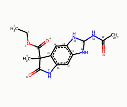 CCOC(=O)C1(C)C(=O)Nc2cc3c(cc21)NC(NC(C)=O)N3